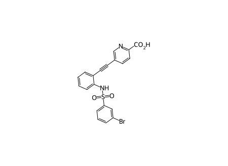 O=C(O)c1ccc(C#Cc2ccccc2NS(=O)(=O)c2cccc(Br)c2)cn1